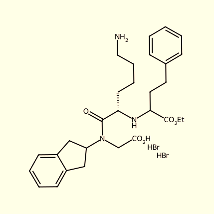 Br.Br.CCOC(=O)C(CCc1ccccc1)N[C@@H](CCCCN)C(=O)N(CC(=O)O)C1Cc2ccccc2C1